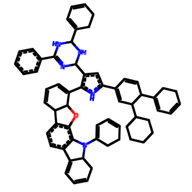 C1=CCCC(C2NC(c3ccccc3)=NC(c3cc(C4=CC(C5CCCCC5)C(C5=CC=CCC5)C=C4)[nH]c3C3=CC=CC4c5ccc6c(c5OC34)N(C3=CC=CCC3)C3CC=CC=C63)N2)=C1